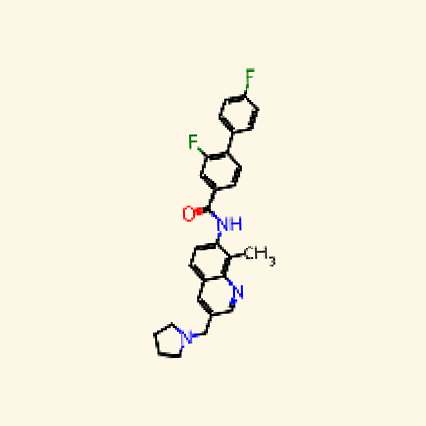 Cc1c(NC(=O)c2ccc(-c3ccc(F)cc3)c(F)c2)ccc2cc(CN3CCCC3)cnc12